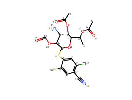 CC(=O)OCC(OC(Sc1cc(Cl)c(C#N)cc1F)C(CN)OC=O)C(C)OC(C)=O